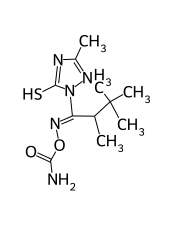 Cc1nc(S)n(C(=NOC(N)=O)C(C)C(C)(C)C)n1